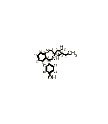 CCCC[C@@]1(CC)CSc2ccccc2[C@@H](c2ccc(O)cc2)N1